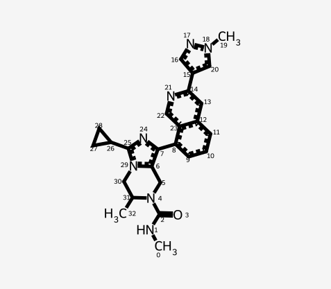 CNC(=O)N1Cc2c(-c3cccc4cc(-c5cnn(C)c5)ncc34)nc(C3CC3)n2CC1C